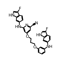 N#Cc1cc(OCCCOc2cccc(Nc3ccc4c(F)c[nH]c4c3)c2)cc(Nc2ccc3c(F)c[nH]c3c2)n1